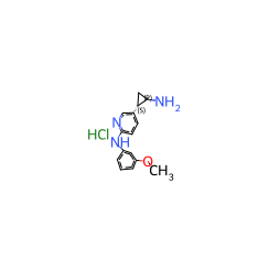 COc1cccc(Nc2ccc([C@@H]3C[C@H]3N)cn2)c1.Cl